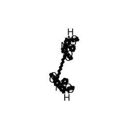 CC1=CC2=Nc3cc(C)c(N(CCCCCCCCCCCCN(C(=O)OC(C)(C)C)c4cc5c(cc4C)nc4cc(C)c(NC(=O)OC(C)(C)C)cc4[n+]5-c4ccccc4)C(=O)OC(C)(C)C)cc3N(c3ccccc3)C2C=C1NC(=O)OC(C)(C)C